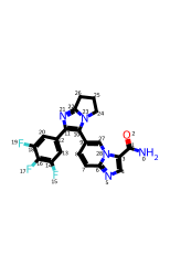 NC(=O)c1cnc2ccc(-c3c(-c4cc(F)c(F)c(F)c4)nc4n3CCC4)cn12